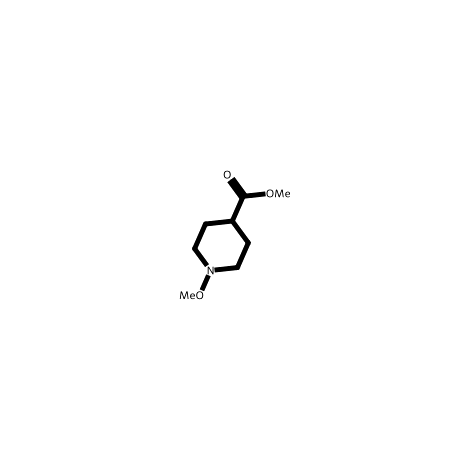 COC(=O)C1CCN(OC)CC1